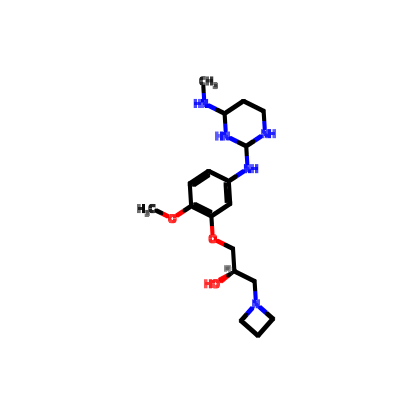 CNC1CCNC(Nc2ccc(OC)c(OC[C@H](O)CN3CCC3)c2)N1